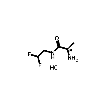 C[C@@H](N)C(=O)NCC(F)F.Cl